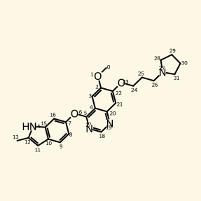 COc1cc2c(Oc3ccc4cc(C)[nH]c4c3)ncnc2cc1OCCCN1CCCC1